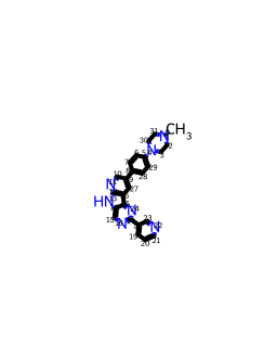 CN1CCN(c2ccc(-c3cnc4[nH]c5cnc(-c6cccnc6)nc5c4c3)cc2)CC1